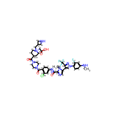 CNc1ccc(-n2cc(-c3cnc(C(=O)Nc4ccc(C(=O)N5CCN(C(=O)C6CC[N+](CC(=O)O)(CC7CNC7)CC6)CC5)c(Cl)c4)n3C)c(C(F)(F)F)n2)c(F)c1